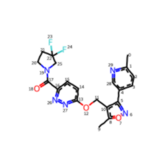 Cc1ccc(-c2noc(C)c2COc2ccc(C(=O)N3CCC(F)(F)C3)nn2)cn1